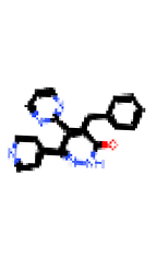 O=c1[nH]nc(-c2ccncc2)c(-c2ncccn2)c1Cc1ccccc1